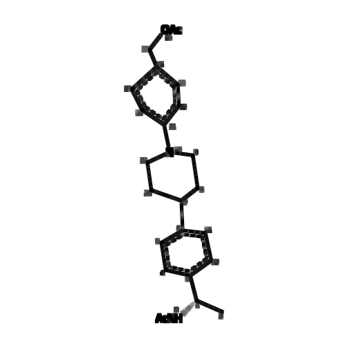 CC(=O)N[C@@H](C)c1ccc(C2CCN(c3ccc(COC(C)=O)cc3)CC2)cc1